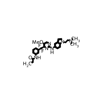 C=CC(=O)Nc1cccc(C(F)(F)c2nc(Nc3ccc4c(ccn4CCN(C)C)c3)ncc2OC)c1